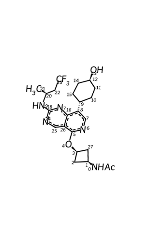 CC(=O)N[C@H]1C[C@@H](Oc2ncc([C@H]3CC[C@H](O)CC3)c3nc(N[C@@H](C)CC(F)(F)F)ncc23)C1